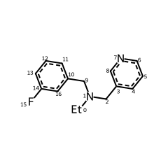 CCN(Cc1cccnc1)Cc1cccc(F)c1